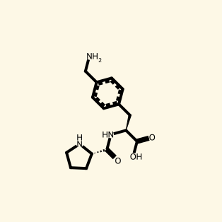 NCc1ccc(C[C@H](NC(=O)[C@@H]2CCCN2)C(=O)O)cc1